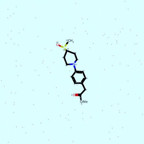 COC(=O)Cc1ccc(N2CCC([S+](C)[O-])CC2)cc1